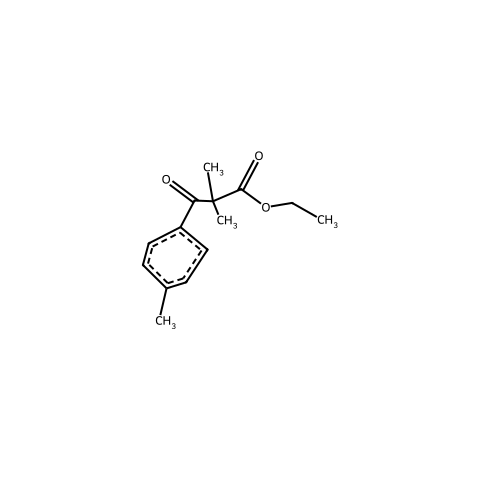 CCOC(=O)C(C)(C)C(=O)c1ccc(C)cc1